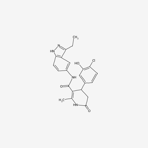 CCc1n[nH]c2ccc(NC(=O)C3=C(C)NC(=O)CC3c3ccc(Cl)c(O)c3)cc12